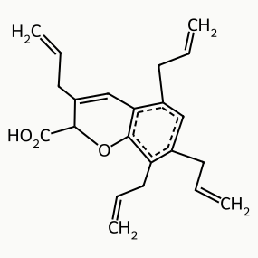 C=CCC1=Cc2c(CC=C)cc(CC=C)c(CC=C)c2OC1C(=O)O